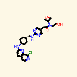 O=C(Cc1cnc(NC[C@H]2CC[C@H](Nc3ccc4ccnc(Cl)c4n3)CC2)nc1)N(CCO)C1COC1